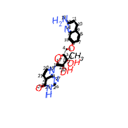 C[C@@]1(O)[C@@H](COc2ccc3ccc(N)nc3c2)O[C@@H](n2ccc3c(=O)[nH]cnc32)[C@@H]1O